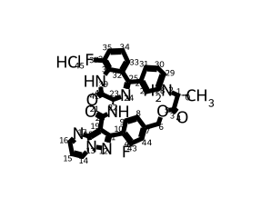 C[C@@H](N)C(=O)OCc1ccc(-c2nn3cccnc3c2C(=O)N[C@H]2N=C(c3ccccc3)c3cccc(F)c3NC2=O)c(F)c1.Cl